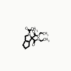 CCOC(=O)C1(C(=O)OCC)C2CCCC2CN1C(C)=O